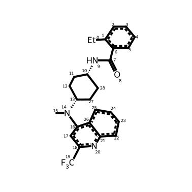 CCc1ccccc1C(=O)N[C@H]1CC[C@@H](N(C)c2cc(C(F)(F)F)nc3ccccc23)CC1